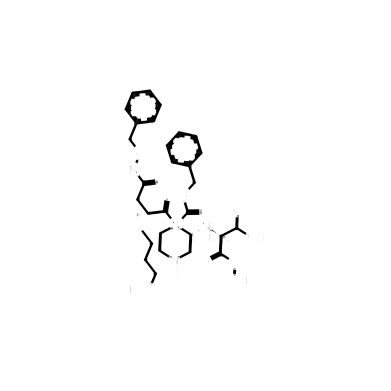 CCCCC[C@H](CC(=O)NOCc1ccccc1)C(=O)[N+]1(C(=O)OCc2ccccc2)CCNC[C@H]1N[C@H](C(=O)OC)C(C)C